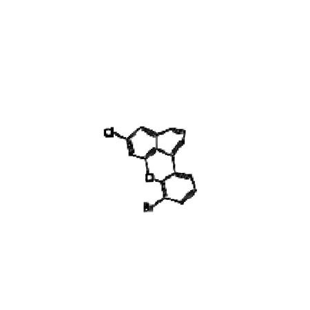 Clc1cc2c3c(cccc3c1)-c1cccc(Br)c1O2